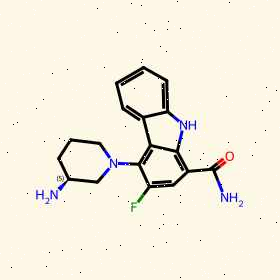 NC(=O)c1cc(F)c(N2CCC[C@H](N)C2)c2c1[nH]c1ccccc12